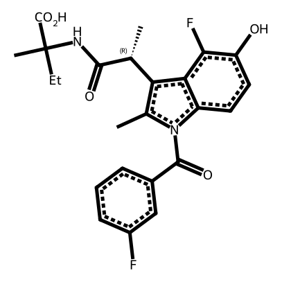 CCC(C)(NC(=O)[C@H](C)c1c(C)n(C(=O)c2cccc(F)c2)c2ccc(O)c(F)c12)C(=O)O